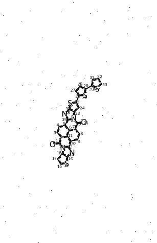 O=c1c2ccc3c4c(ccc(c24)c2nc4sccc4n12)c(=O)n1c2cc(-c4ccc(-c5cccs5)s4)sc2nc31